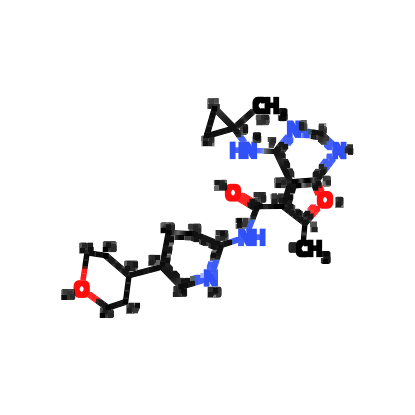 Cc1oc2ncnc(NC3(C)CC3)c2c1C(=O)Nc1ccc(C2CCOCC2)cn1